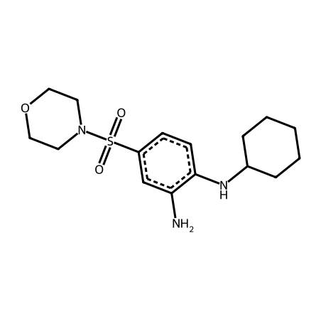 Nc1cc(S(=O)(=O)N2CCOCC2)ccc1NC1CCCCC1